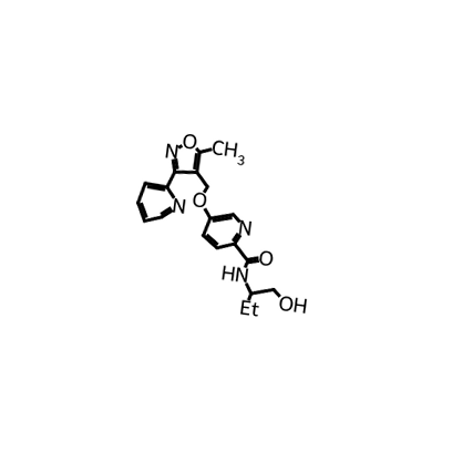 CCC(CO)NC(=O)c1ccc(OCc2c(-c3ccccn3)noc2C)cn1